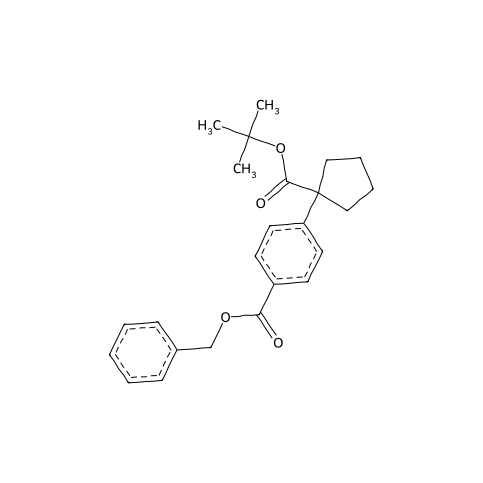 CC(C)(C)OC(=O)C1(c2ccc(C(=O)OCc3ccccc3)cc2)CCCC1